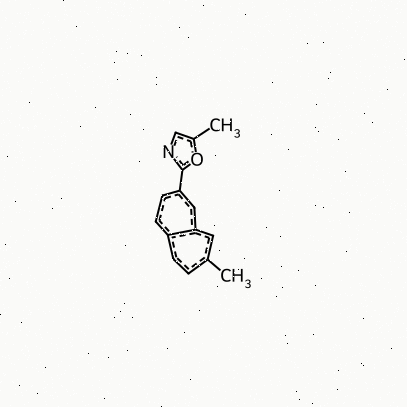 Cc1ccc2ccc(-c3ncc(C)o3)cc2c1